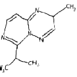 CC1C=NN2C(=N1)C=CN=C2C(C)C